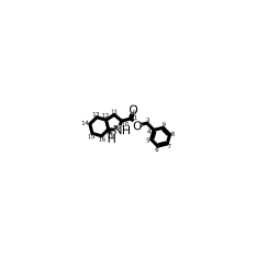 O=C(OCc1ccccc1)C1CC2CCCC[C@H]2N1